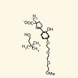 COCCOCCOCCOc1ccc(C2=N[C@@](C)(C(=O)[O-])CS2)c(O)c1.C[N+](C)(C)CCO